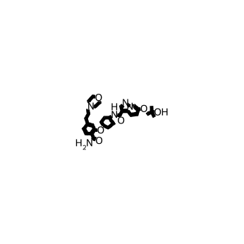 CC(C)(O)COc1ccc2c(C(=O)NC3CCC(Oc4cc(CCCN5CCOCC5)ccc4C(N)=O)CC3)cnn2c1